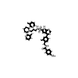 Cc1cc(-c2ncnc3[nH]c(S(=O)(=O)NCCCN4[C@@H](c5ncccc5C)CCC[C@H]4c4ncccc4C)cc23)ccc1CNC(=O)c1ccc(C(C)(C)C)cc1